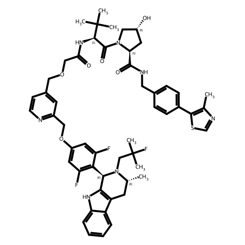 Cc1ncsc1-c1ccc(CNC(=O)[C@@H]2C[C@@H](O)CN2C(=O)[C@@H](NC(=O)COCc2ccnc(COc3cc(F)c([C@@H]4c5[nH]c6ccccc6c5C[C@@H](C)N4CC(C)(C)F)c(F)c3)c2)C(C)(C)C)cc1